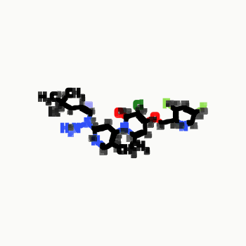 CCC(C)(C)C/C=C\N(N)c1cc(-n2c(C)cc(OCc3ncc(F)cc3F)c(Cl)c2=O)c(C)cn1